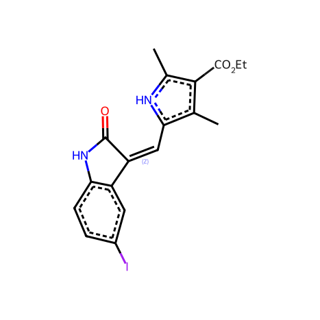 CCOC(=O)c1c(C)[nH]c(/C=C2\C(=O)Nc3ccc(I)cc32)c1C